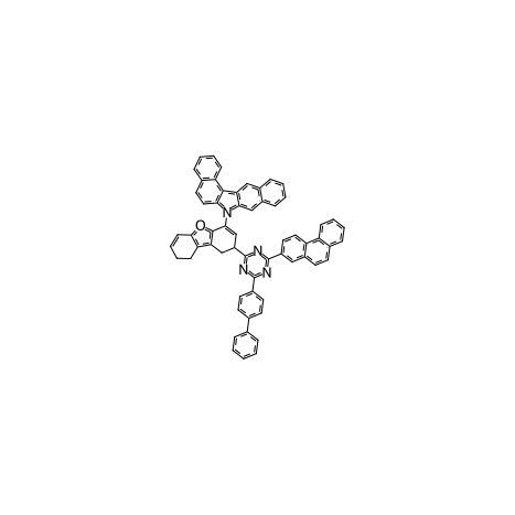 C1=Cc2oc3c(c2CC1)CC(c1nc(-c2ccc(-c4ccccc4)cc2)nc(-c2ccc4c(ccc5ccccc54)c2)n1)C=C3n1c2cc3ccccc3cc2c2c3ccccc3ccc21